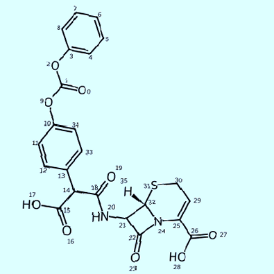 O=C(Oc1ccccc1)Oc1ccc(C(C(=O)O)C(=O)NC2C(=O)N3C(C(=O)O)=CCS[C@@H]23)cc1